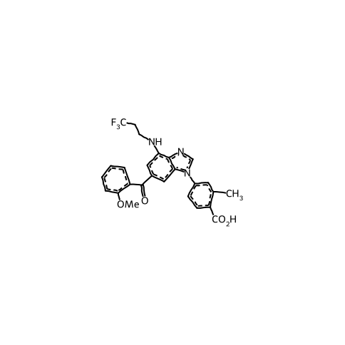 COc1ccccc1C(=O)c1cc(NCCC(F)(F)F)c2ncn(-c3ccc(C(=O)O)c(C)c3)c2c1